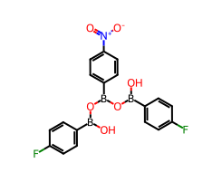 O=[N+]([O-])c1ccc(B(OB(O)c2ccc(F)cc2)OB(O)c2ccc(F)cc2)cc1